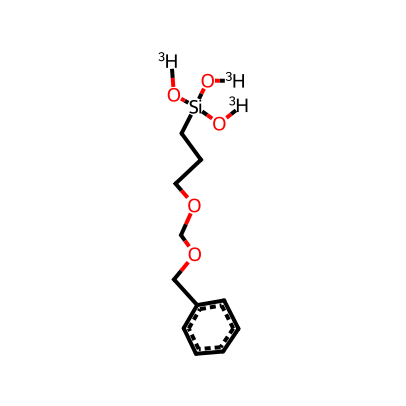 [3H]O[Si](CCCOCOCc1ccccc1)(O[3H])O[3H]